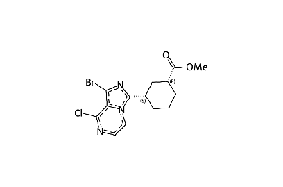 COC(=O)[C@@H]1CCC[C@H](c2nc(Br)c3c(Cl)nccn23)C1